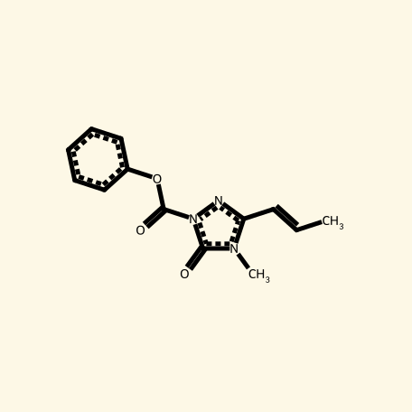 CC=Cc1nn(C(=O)Oc2ccccc2)c(=O)n1C